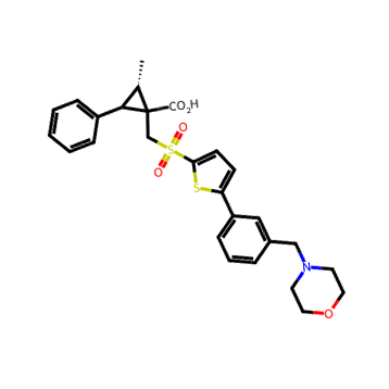 C[C@H]1C(c2ccccc2)C1(CS(=O)(=O)c1ccc(-c2cccc(CN3CCOCC3)c2)s1)C(=O)O